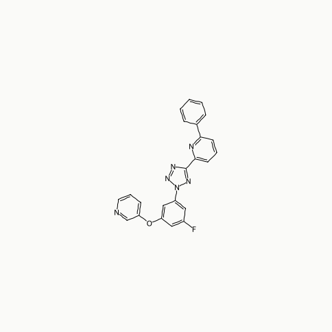 Fc1cc(Oc2cccnc2)cc(-n2nnc(-c3cccc(-c4ccccc4)n3)n2)c1